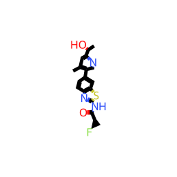 Cc1cc(C(C)O)ncc1-c1ccc2nc(NC(=O)C3C[C@@H]3F)sc2c1